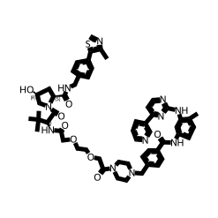 Cc1ccc(NC(=O)c2ccc(CN3CCN(C(=O)COCCOCC(=O)N[C@H](C(=O)N4C[C@H](O)C[C@H]4C(=O)NCc4ccc(-c5scnc5C)cc4)C(C)(C)C)CC3)cc2)cc1Nc1nccc(-c2cccnc2)n1